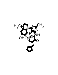 Cc1nc(NNC(=O)[C@H](CC2CCCC2)CN(O)C=O)c(F)c(N2CCN(C)C3CCCCC32)n1